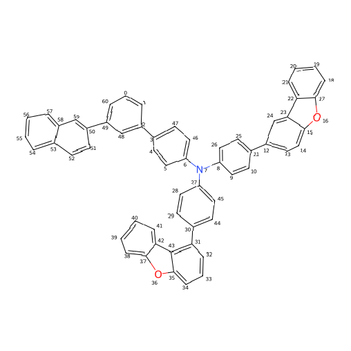 c1cc(-c2ccc(N(c3ccc(-c4ccc5oc6ccccc6c5c4)cc3)c3ccc(-c4cccc5oc6ccccc6c45)cc3)cc2)cc(-c2ccc3ccccc3c2)c1